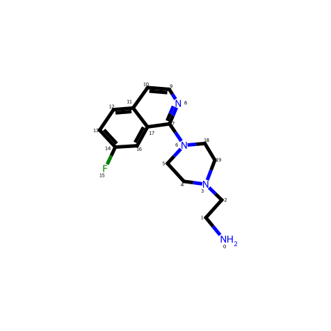 NCCN1CCN(c2nccc3ccc(F)cc23)CC1